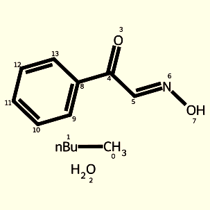 CCCCC.O.O=C(C=NO)c1ccccc1